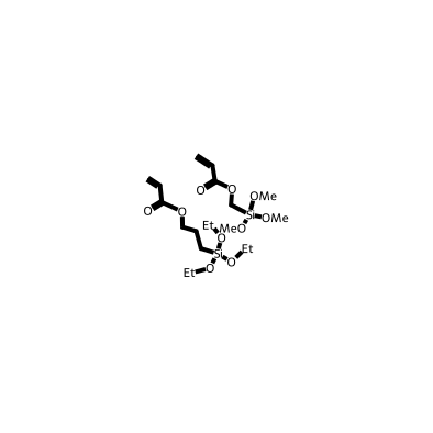 C=CC(=O)OCCC[Si](OCC)(OCC)OCC.C=CC(=O)OC[Si](OC)(OC)OC